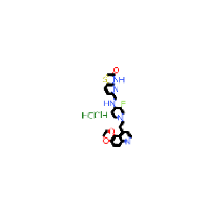 Cl.Cl.O=C1CSc2ccc(CN[C@@H]3CCN(CCc4ccnc5ccc6c(c45)OCCO6)C[C@H]3F)nc2N1